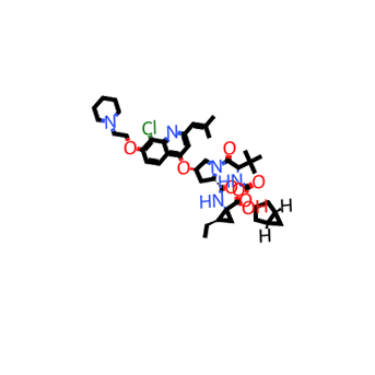 CC[C@@H]1C[C@]1(NC(=O)[C@@H]1C[C@@H](Oc2cc(C=C(C)C)nc3c(Cl)c(OCCN4CCCCC4)ccc23)CN1C(=O)[C@@H](NC(=O)O[C@@H]1C[C@@H]2C[C@@H]2C1)C(C)(C)C)C(=O)O